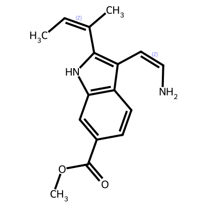 C/C=C(/C)c1[nH]c2cc(C(=O)OC)ccc2c1/C=C\N